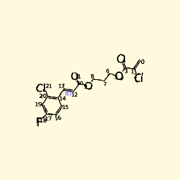 C=C(Cl)C(=O)OCCCOC(=O)/C=C/c1ccc(F)cc1Cl